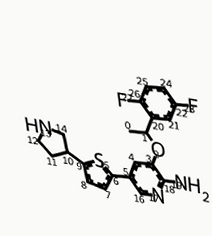 CC(Oc1cc(-c2ccc(C3CCNC3)s2)cnc1N)c1cc(F)ccc1F